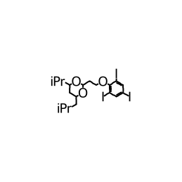 CC(C)CC1CC(C(C)C)OC(CCOc2c(I)cc(I)cc2I)O1